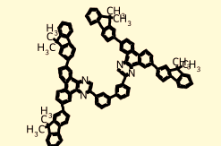 CC1(C)c2ccccc2-c2ccc(-c3ccc4c5ccc(-c6ccc7c(c6)C(C)(C)c6ccccc6-7)cc5c5nc(-c6cccc(-c7cccc(-c8cnc9c%10cc(-c%11ccc%12c(c%11)C(C)(C)c%11ccccc%11-%12)ccc%10c%10ccc(-c%11ccc%12c(c%11)C(C)(C)c%11ccccc%11-%12)cc%10c9n8)c7)c6)cnc5c4c3)cc21